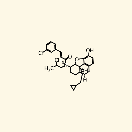 CC(C)CN(C(=O)/C=C/c1cccc(Cl)c1)C1CC[C@@]2(O)[C@H]3Cc4ccc(O)c5c4[C@@]2(CCN3CC2CC2)C1O5